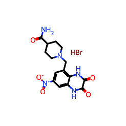 Br.NC(=O)C1CCN(Cc2cc([N+](=O)[O-])cc3[nH]c(=O)c(=O)[nH]c23)CC1